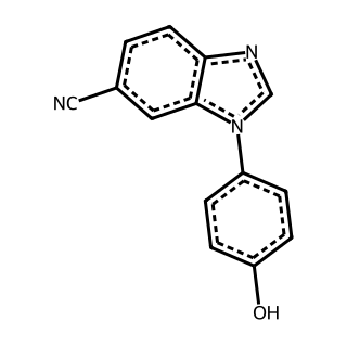 N#Cc1ccc2ncn(-c3ccc(O)cc3)c2c1